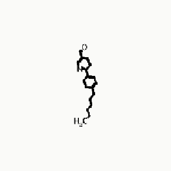 CCCCCCc1ccc(-c2ccc(C=O)cn2)cc1